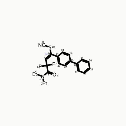 CCN(CC)C(=O)C(F)(F)/C=C(/SC#N)c1ccc(-c2ccccc2)cc1